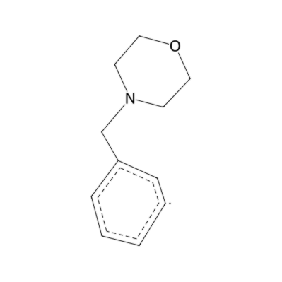 [c]1cccc(CN2CCOCC2)c1